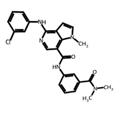 CN(C)C(=O)c1cccc(NC(=O)c2cnc(Nc3cccc(Cl)c3)c3ccn(C)c23)c1